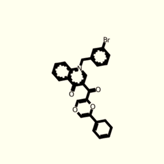 O=C(C1=COC=C(C2=CC=CCC2)O1)c1cn(Cc2cccc(Br)c2)c2ccccc2c1=O